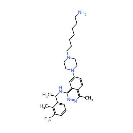 Cc1c([C@@H](C)Nc2nnc(C)c3ccc(N4CCN(CCCCCCCN)CC4)cc23)cccc1C(F)(F)F